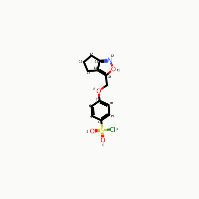 O=S(=O)(Cl)c1ccc(OCc2onc3c2CCC3)cc1